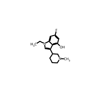 CCn1cc(C2CCCN(C)C2)c2c(O)cc(F)cc21